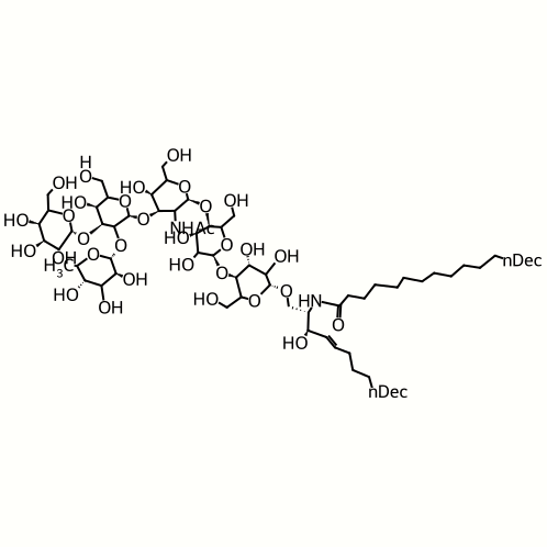 CCCCCCCCCCCCC/C=C/[C@@H](O)[C@H](CO[C@@H]1OC(CO)[C@@H](O[C@@H]2OC(CO)[C@H](O[C@@H]3OC(CO)[C@H](O)[C@H](O[C@@H]4OC(CO)[C@H](O)[C@H](O[C@H]5OC(CO)[C@H](O)[C@H](O)C5O)C4O[C@H]4OC(C)[C@@H](O)C(O)[C@@H]4O)C3NC(C)=O)[C@H](O)C2O)[C@H](O)C1O)NC(=O)CCCCCCCCCCCCCCCCCCCCC